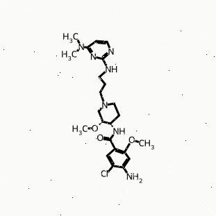 COc1cc(N)c(Cl)cc1C(=O)N[C@H]1CCN(CCCNc2nccc(N(C)C)n2)C[C@H]1OC